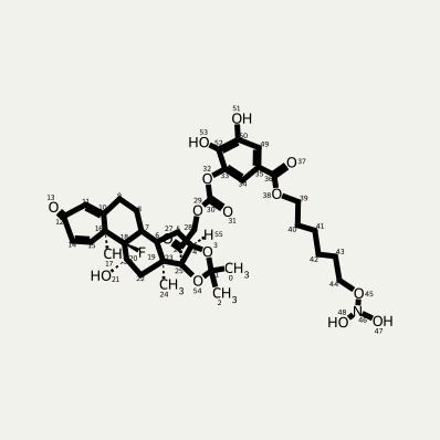 CC1(C)O[C@@H]2CC3C4CCC5=CC(=O)C=C[C@]5(C)[C@@]4(F)[C@@H](O)C[C@]3(C)[C@]2(C(=O)COC(=O)Oc2cc(C(=O)OCCCCCCON(O)O)cc(O)c2O)O1